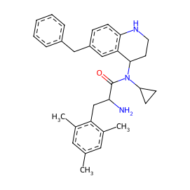 Cc1cc(C)c(CC(N)C(=O)N(C2CC2)C2CCNc3ccc(Cc4ccccc4)cc32)c(C)c1